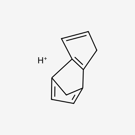 C1=CC2=C(C1)C1=CC=C2C1.[H+]